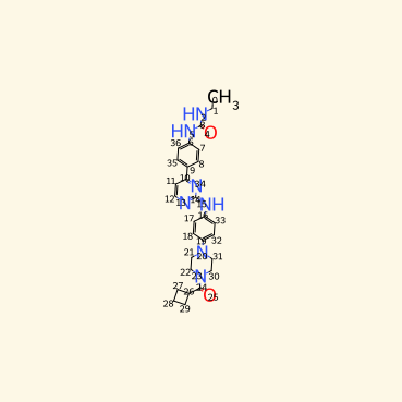 CCNC(=O)Nc1ccc(-c2ccnc(Nc3ccc(N4CCN(C(=O)C5CCC5)CC4)cc3)n2)cc1